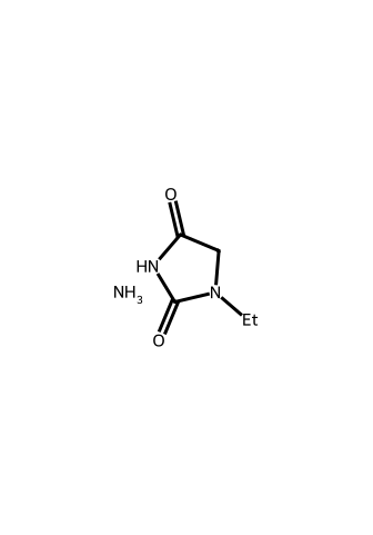 CCN1CC(=O)NC1=O.N